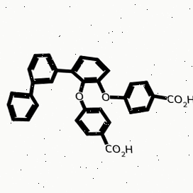 O=C(O)c1ccc(Oc2cccc(-c3cccc(-c4ccccc4)c3)c2Oc2ccc(C(=O)O)cc2)cc1